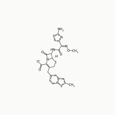 CO/N=C(\C(=O)NC1C(=O)N2C(C(=O)[O-])=C(C[n+]3ccc4sc(C)cc4c3)CS[C@H]12)c1csc(N)n1